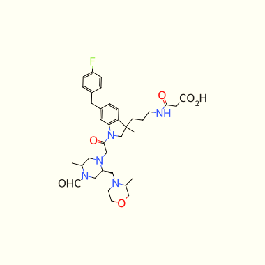 CC1CN(CC(=O)N2CC(C)(CCCNC(=O)CC(=O)O)c3ccc(Cc4ccc(F)cc4)cc32)[C@@H](CN2CCOCC2C)CN1C=O